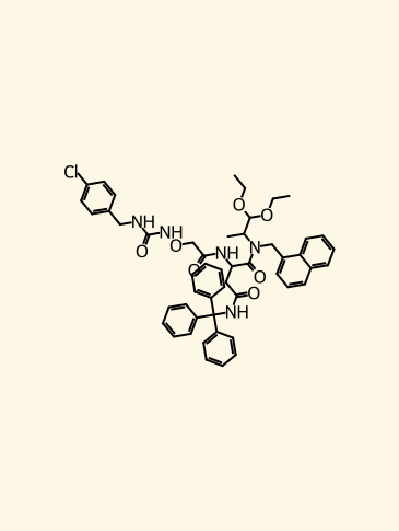 CCOC(OCC)C(C)N(Cc1cccc2ccccc12)C(=O)C(CC(=O)NC(c1ccccc1)(c1ccccc1)c1ccccc1)NC(=O)CONC(=O)NCc1ccc(Cl)cc1